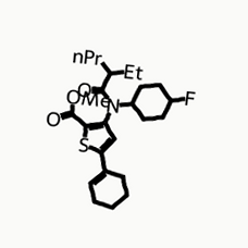 CCCC(CC)C(=O)N(c1cc(C2=CCCCC2)sc1C(=O)OC)C1CCC(F)CC1